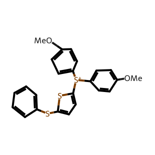 COc1ccc([S+](c2ccc(OC)cc2)c2ccc(Sc3ccccc3)s2)cc1